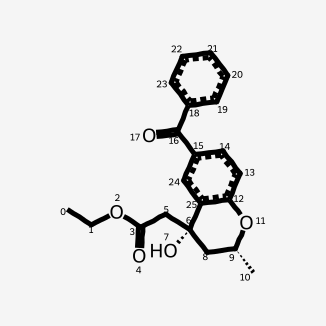 CCOC(=O)C[C@]1(O)C[C@@H](C)Oc2ccc(C(=O)c3ccccc3)cc21